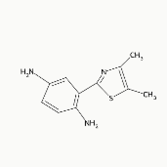 Cc1nc(-c2cc(N)ccc2N)sc1C